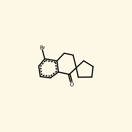 O=C1c2cccc(Br)c2CCC12CCCC2